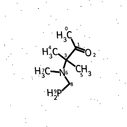 CC(=O)C(C)(C)N(C)CP